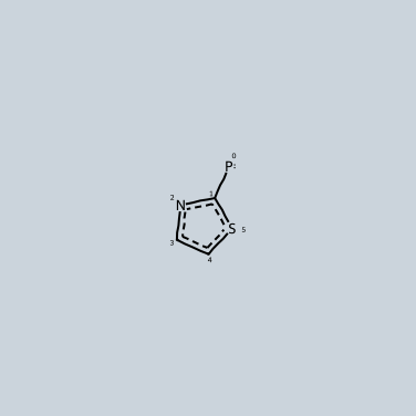 [P]c1nccs1